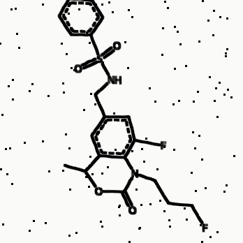 CC1OC(=O)N(CCCF)c2c(F)cc(CNS(=O)(=O)c3ccccc3)cc21